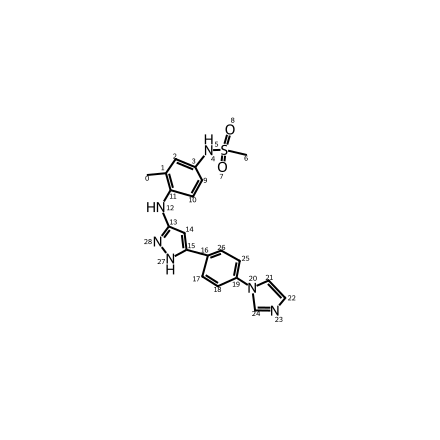 Cc1cc(NS(C)(=O)=O)ccc1Nc1cc(-c2ccc(-n3ccnc3)cc2)[nH]n1